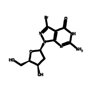 Nc1nc2c(c(Br)nn2[C@H]2C[C@@H](O)[C@@H](CO)O2)c(=O)[nH]1